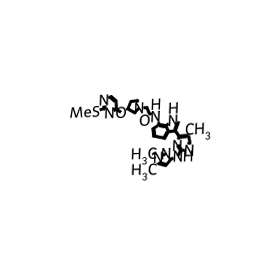 CSc1nccc(O[C@H]2CCN(CC(=O)Nc3cccc4c(-c5nc(Nc6cc(C)n(C)n6)ncc5C)c[nH]c34)C2)n1